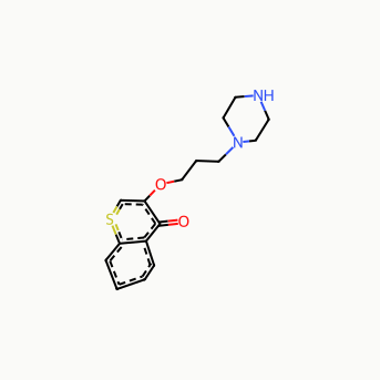 O=c1c(OCCCN2CCNCC2)csc2ccccc12